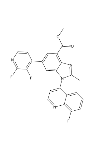 COC(=O)c1cc(-c2ccnc(F)c2F)cc2c1nc(C)n2-c1ccnc2c(F)cccc12